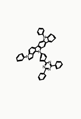 c1ccc(-c2nc(-c3ccccc3)nc(-c3ccc(-n4c5cc6c7ccccc7n(-c7ccccc7)c6cc5c5ccc6c(ccn6-c6ccccc6)c54)cc3)n2)cc1